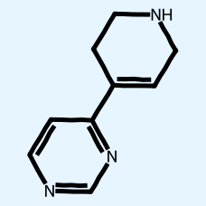 C1=C(c2ccncn2)CCNC1